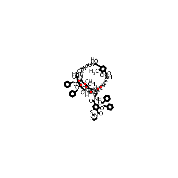 Cc1c2ccc(c1C)C(=O)NCCN1CCNC(=O)c3ccc(c(C)c3C)C(=O)NCCN(CCNC2=O)CCNC(=O)c2ccc(c(OCc3ccccc3)c2OCc2ccccc2)C(=O)NCCN(CCNC(=O)c2ccc(C(=O)N3CCSC3=S)c(OCc3ccccc3)c2OCc2ccccc2)CC1